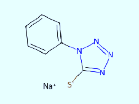 [Na+].[S-]c1nnnn1-c1ccccc1